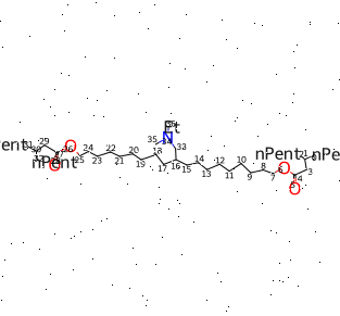 CCCCCC(CCCCC)CC(=O)OCCCCCCCCCC(CCCCCCCCCOC(=O)CC(CCCCC)CCCCC)CN(C)CC